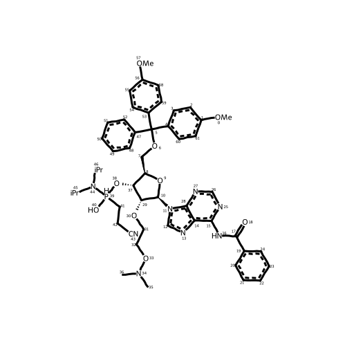 COc1ccc(C(OC[C@H]2O[C@@H](n3cnc4c(NC(=O)c5ccccc5)ncnc43)[C@H](OCCON(C)C)[C@@H]2O[PH](O)(CCC#N)N(C(C)C)C(C)C)(c2ccccc2)c2ccc(OC)cc2)cc1